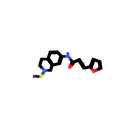 CCCSN1CCc2ccc(NC(=O)/C=C/c3ccco3)cc2C1